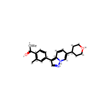 COC(=O)c1ccc(-c2cnn3cc(C4CCOCC4)ccc23)cc1C